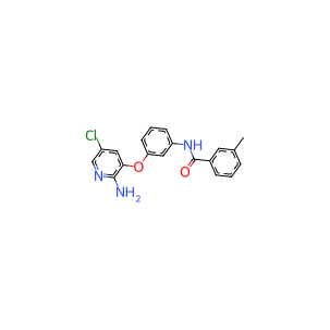 Cc1cccc(C(=O)Nc2cccc(Oc3cc(Cl)cnc3N)c2)c1